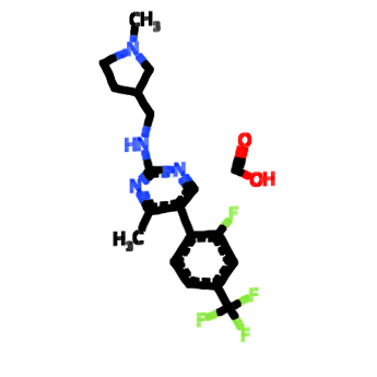 Cc1nc(NCC2CCN(C)C2)ncc1-c1ccc(C(F)(F)F)cc1F.O=CO